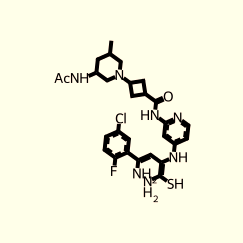 CC(=O)NC1CC(C)CN(C2CC(C(=O)Nc3cc(NC(/C=C(\N)c4cc(Cl)ccc4F)=C(/N)S)ccn3)C2)C1